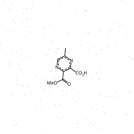 COC(=O)c1ncc(C)nc1C(=O)O